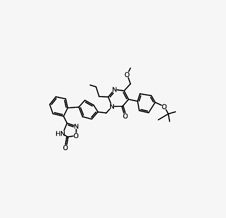 CCCc1nc(COC)c(-c2ccc(OC(C)(C)C)cc2)c(=O)n1Cc1ccc(-c2ccccc2-c2noc(=O)[nH]2)cc1